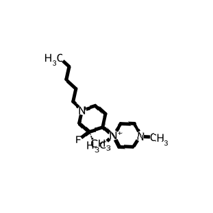 CCCCCN1CCC([N+]2(C)CCN(C)CC2)[C@@](C)(F)C1